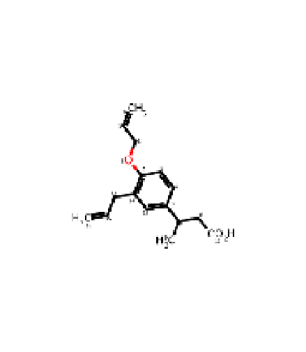 C=CCOc1ccc(C(C)CC(=O)O)cc1CC=C